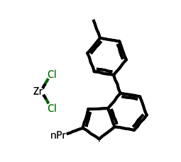 CCCC1=Cc2c(cccc2-c2ccc(C)cc2)[CH]1.[Cl][Zr][Cl]